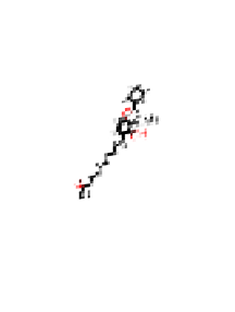 CCC(=O)CCCCCCCCCc1ccc(OCc2ccccc2)c(OC)c1O